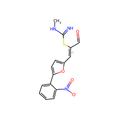 CNC(=N)S/C(C=O)=C\c1ccc(-c2ccccc2[N+](=O)[O-])o1